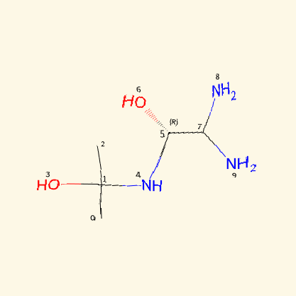 CC(C)(O)N[C@H](O)C(N)N